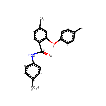 Cc1ccc(Oc2cc(C(F)(F)F)ccc2C(=O)Nc2ccc(C(=O)O)cc2)cc1